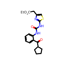 CCOC(=O)Cc1csc(NC(=O)Nc2ccccc2C(=O)C2CCCC2)n1